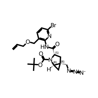 C=CCOCc1ccc(Br)nc1NC(=O)[C@@H]1C[C@@]2(CN=[N+]=[N-])C[C@H]2N1C(=O)OC(C)(C)C